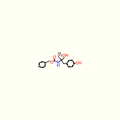 C[C@@](CO)(Cc1ccc(O)cc1)NC(=O)OCc1ccccc1